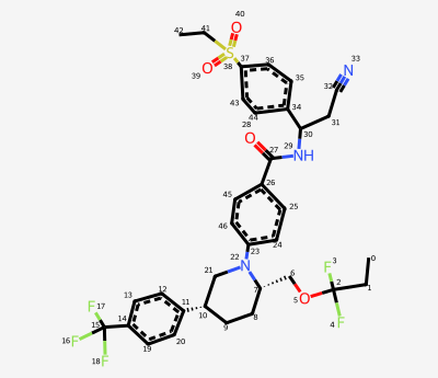 CCC(F)(F)OC[C@@H]1CC[C@H](c2ccc(C(F)(F)F)cc2)CN1c1ccc(C(=O)NC(CC#N)c2ccc(S(=O)(=O)CC)cc2)cc1